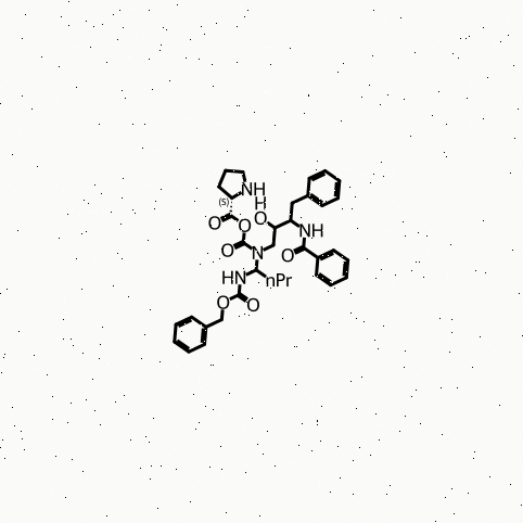 CCCC(NC(=O)OCc1ccccc1)N(CC(O)C(Cc1ccccc1)NC(=O)c1ccccc1)C(=O)OC(=O)[C@@H]1CCCN1